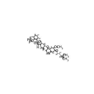 COc1cc2c(Oc3ccc(NS(=O)(=O)c4ccccc4OC(F)(F)F)cc3F)ccnc2cc1OCCCN(C)C